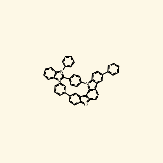 c1ccc(-c2ccc3oc4ccc5c6cc(-c7ccccc7)ccc6n(-c6ccc(-c7nc8ccccc8n7-c7ccccc7)cc6)c5c4c3c2)cc1